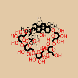 C[C@H](CC[C@@H](O[C@@H]1OC(CO[C@@H]2OC(CO)C(O)C(O)C2O)[C@@H](O)C(O)C1O[C@@H]1OC(CO)[C@@H](O)C(O)C1O)C(C)(C)O)[C@H]1CC[C@@]2(C)[C@@H]3CC=C4[C@@H](CC[C@H](O[C@@H]5OC(CO[C@@H]6OC(CO)[C@@H](O)C(O)C6O)[C@@H](O)C(O)C5O)C4(C)C)[C@]3(C)[C@H](O)C[C@]12C